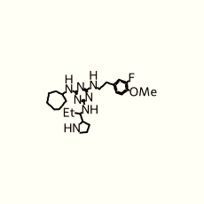 CCC(Nc1nc(NCCc2ccc(OC)c(F)c2)nc(NC2CCCCCC2)n1)C1CCCN1